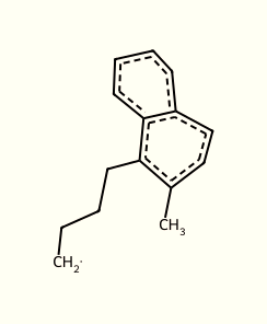 [CH2]CCCc1c(C)ccc2ccccc12